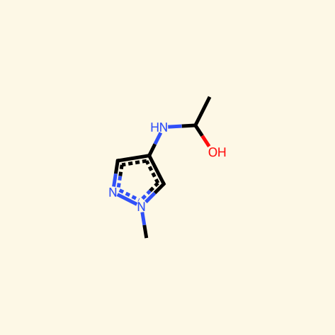 CC(O)Nc1cnn(C)c1